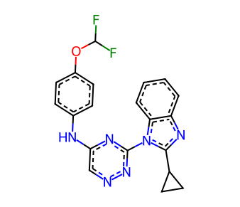 FC(F)Oc1ccc(Nc2cnnc(-n3c(C4CC4)nc4ccccc43)n2)cc1